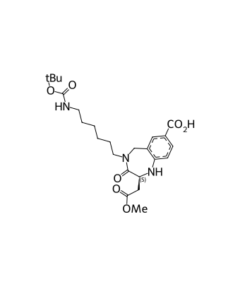 COC(=O)C[C@@H]1Nc2ccc(C(=O)O)cc2CN(CCCCCCNC(=O)OC(C)(C)C)C1=O